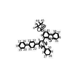 CC1(C)OB(c2cc(-c3cc(-c4ccc(-c5ccccc5)cc4)nc(C4=CCCC=C4)n3)c3sc4ccccc4c3c2)OC1(C)C